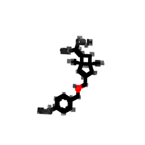 COc1ccc(COCC2=C[C@@H]3/C(=C(/C(=O)O)C(C)(C)C)C[C@@H]3C2)cc1